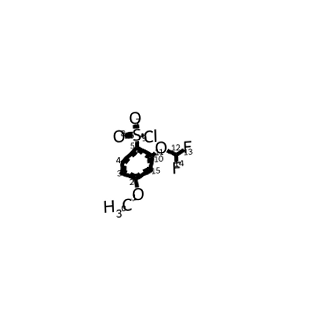 COc1ccc(S(=O)(=O)Cl)c(OC(F)F)c1